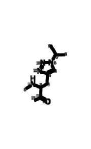 CNC(Cc1cn(C(C)C)nn1)C(C)=O